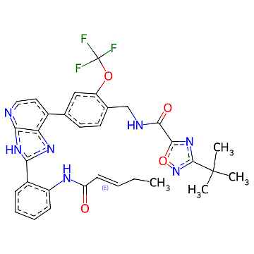 CC/C=C/C(=O)Nc1ccccc1-c1nc2c(-c3ccc(CNC(=O)c4nc(C(C)(C)C)no4)c(OC(F)(F)F)c3)ccnc2[nH]1